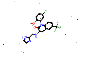 COc1ccc(Cl)cc1-n1c(=O)c(NCc2ncc[nH]2)cc2cc(C(F)(F)F)ccc21